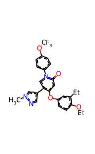 CCOc1ccc(Oc2cc(=O)n(-c3ccc(OC(F)(F)F)cc3)cc2-c2cnn(C)c2)cc1CC